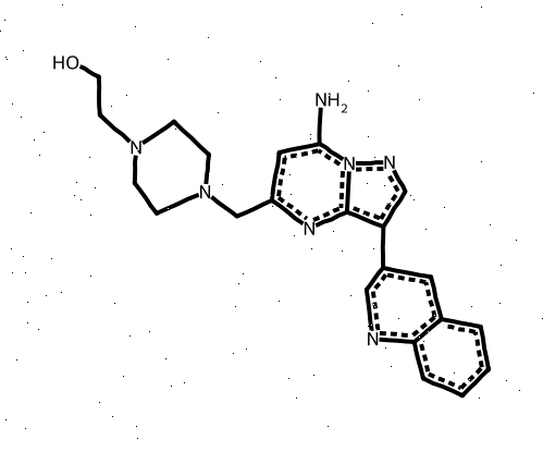 Nc1cc(CN2CCN(CCO)CC2)nc2c(-c3cnc4ccccc4c3)cnn12